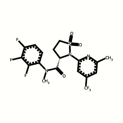 Cc1cc(C(F)(F)F)cc(N2[C@H](C(=O)N(C)c3ccc(F)c(F)c3F)CCS2(=O)=O)n1